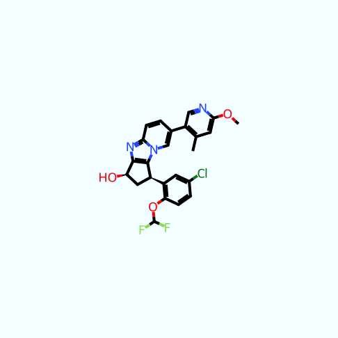 COc1cc(C)c(-c2ccc3nc4c(n3c2)[C@@H](c2cc(Cl)ccc2OC(F)F)C[C@H]4O)cn1